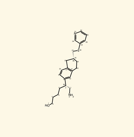 NC[C@H](CCCCO)c1ccc2c(c1)CC[C@@H](CSc1cccnc1)C2